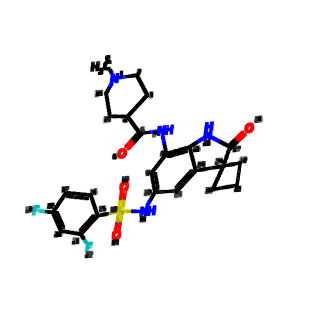 CN1CCC(C(=O)Nc2cc(NS(=O)(=O)c3ccc(F)cc3F)cc3c2NC(=O)C32CCC2)CC1